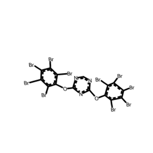 Brc1c(Br)c(Br)c(Oc2ncnc(Oc3c(Br)c(Br)c(Br)c(Br)c3Br)n2)c(Br)c1Br